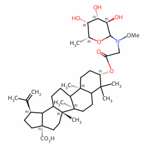 C=C(C)[C@@H]1CC[C@]2(C(=O)O)CC[C@]3(C)C(CCC4[C@@]5(C)CC[C@H](OC(=O)CN(OC)C6O[C@H](C)[C@H](O)[C@H](O)[C@H]6O)C(C)(C)C5CC[C@]43C)C12